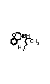 CCCC(BN1CCOc2ccccc2C1)CC